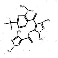 Cc1nn(C)cc1C(=O)Oc1c(C(=O)c2ccc(C(F)(F)F)cc2[S+](C)[O-])c(C)nn1C